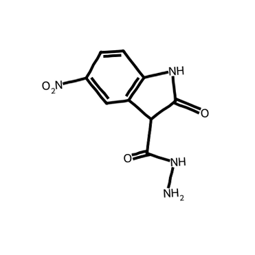 NNC(=O)C1C(=O)Nc2ccc([N+](=O)[O-])cc21